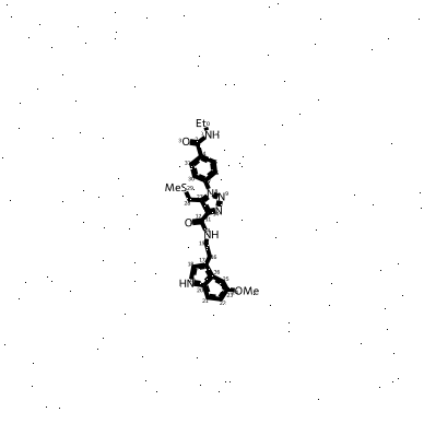 CCNC(=O)c1ccc(-n2nnc(C(=O)NCCc3c[nH]c4ccc(OC)cc34)c2CSC)cc1